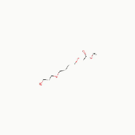 CC(C)(C)OC(=O)COCCCCOCCCO